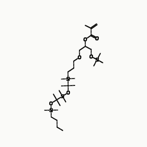 C=C(C)C(=O)OC(COCCC[Si](C)(C)C(C)(C)O[Si](C)(C)C(C)(C)O[Si](C)(C)CCCC)CO[Si](C)(C)C